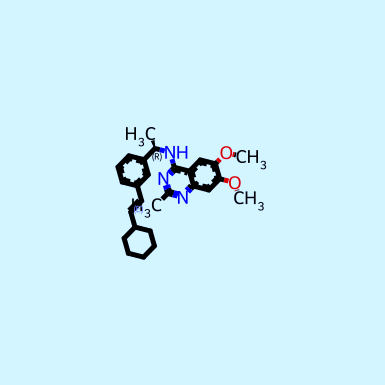 COc1cc2nc(C)nc(N[C@H](C)c3cccc(/C=C/C4CCCCC4)c3)c2cc1OC